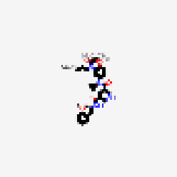 CCOC[C@@H](Cc1ccccc1)NC(=O)[C@@H]1CNC[C@H](C(=O)N(c2ccc3c(c2)N(CCCOC)C(=O)C(C)(C)O3)C2CC2)C1